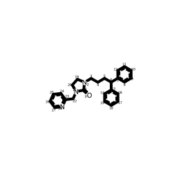 O=C1N(CCCC(c2ccccc2)c2ccccc2)CCN1Cc1ccccn1